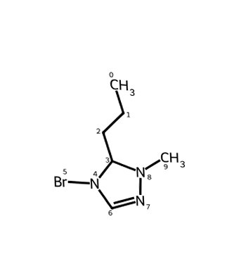 CCCC1N(Br)C=NN1C